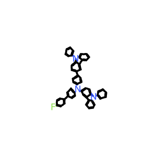 Fc1ccc(-c2ccc(N(c3ccc(-c4ccc5c(c4)c4ccccc4n5-c4ccccc4)cc3)c3ccc4c(c3)c3ccccc3n4-c3ccccc3)cc2)cc1